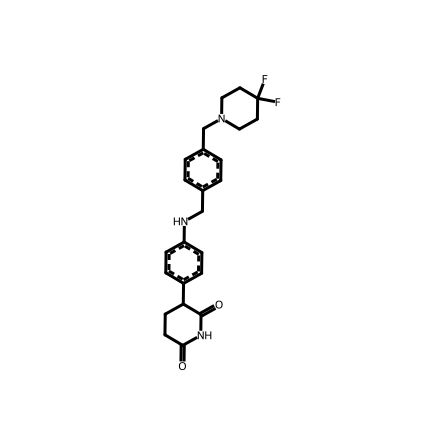 O=C1CCC(c2ccc(NCc3ccc(CN4CCC(F)(F)CC4)cc3)cc2)C(=O)N1